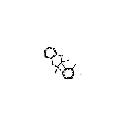 Cc1cccc(C2(C)Oc3ccccc3CC2(C)C)c1C